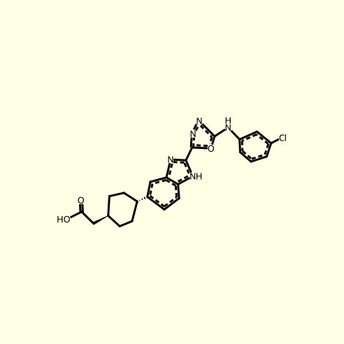 O=C(O)C[C@H]1CC[C@H](c2ccc3[nH]c(-c4nnc(Nc5cccc(Cl)c5)o4)nc3c2)CC1